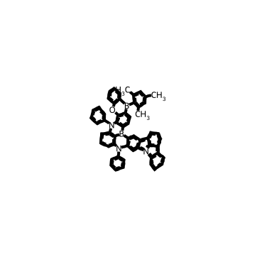 Cc1cc(C)c(B2c3ccccc3Oc3c2ccc2c3N(c3ccccc3)c3cccc4c3B2c2cc3c5cccc6c7ccccc7n(c3cc2N4c2ccccc2)c65)c(C)c1